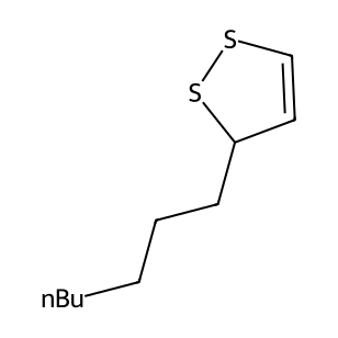 CCCCCCCC1C=CSS1